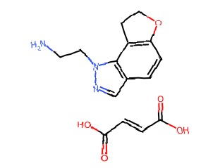 NCCn1ncc2ccc3c(c21)CCO3.O=C(O)/C=C/C(=O)O